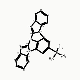 C[Si](C)(C)c1cc2c3c(c1)n1c4ccccc4nc1n3c1nc3ccccc3n21